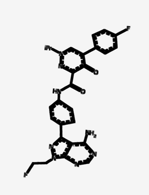 CC(C)n1cc(-c2ccc(F)cc2)c(=O)c(C(=O)Nc2ccc(-c3nn(CCF)c4ncnc(N)c34)cc2)n1